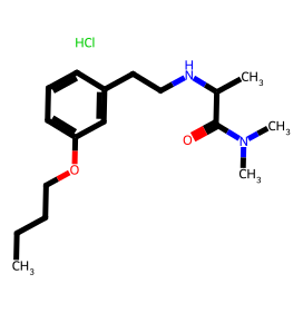 CCCCOc1cccc(CCNC(C)C(=O)N(C)C)c1.Cl